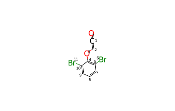 O=C=COc1c(Br)cccc1Br